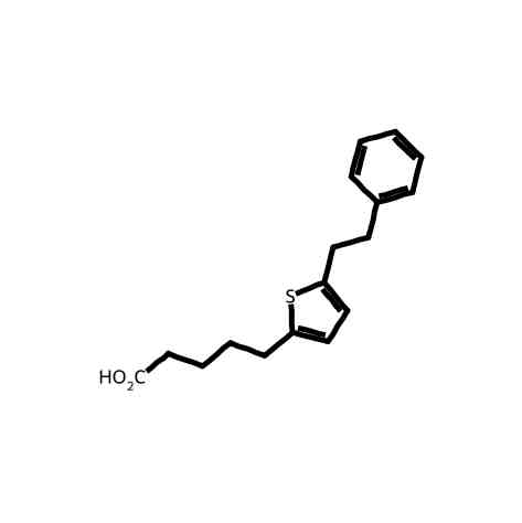 O=C(O)CCCCc1ccc(CCc2ccccc2)s1